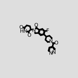 O=C1CCC(N2Cc3cc(C4CCN(C(=O)c5ccnnc5)CC4)c(F)cc3C2=O)C(=O)N1